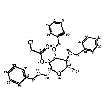 O=C(CCl)O[C@@H]1[C@H](OCc2ccccc2)[C@@H](OCc2ccccc2)[C@H](F)O[C@@H]1COCc1ccccc1